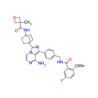 COc1ccc(F)cc1C(=O)NCc1ccc(-c2nc(C34CCC(NC(=O)C5(C)COC5)(CC3)C4)n3ccnc(N)c23)cc1